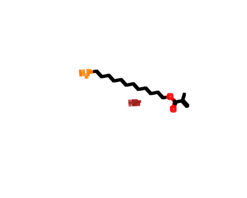 Br.C=C(C)C(=O)OCCCCCCCCCCCCP